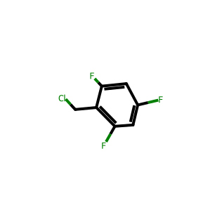 Fc1cc(F)c(CCl)c(F)c1